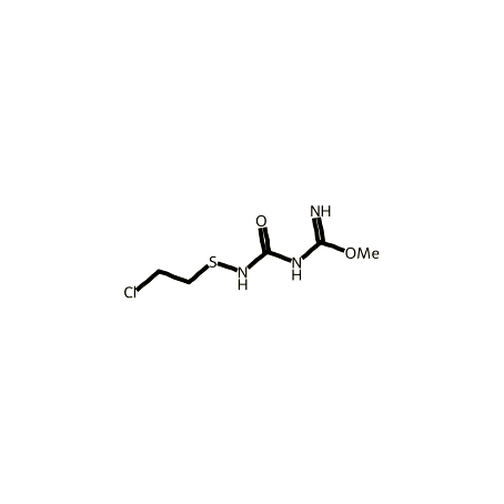 COC(=N)NC(=O)NSCCCl